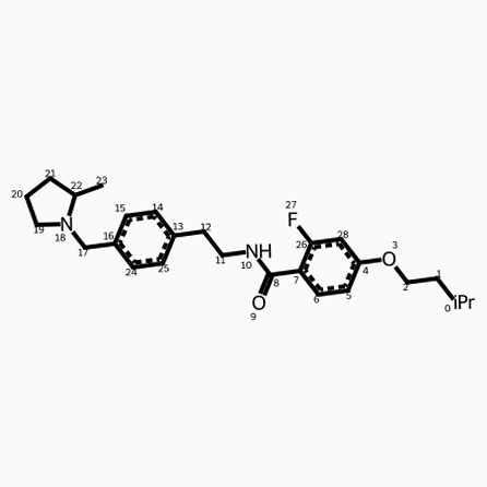 CC(C)CCOc1ccc(C(=O)NCCc2ccc(CN3CCCC3C)cc2)c(F)c1